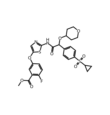 COC(=O)c1cc(Oc2cnc(NC(=O)C(OC3CCOCC3)c3ccc(S(=O)(=O)C4CC4)cc3)s2)ccc1F